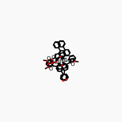 Cc1ccc(C2=Cc3c(-c4ccccc4)cccc3[C]23[GeH]([c]2ccccc2)[C]2(C(c4ccc(C)o4)=Cc4c(-c5ccccc5)cccc42)[Hf]32([Cl])([Cl])[C]3(C(c4ccc(C)o4)=Cc4c(-c5ccccc5)cccc43)[GeH]([c]3ccccc3)[C]23C(c2ccc(C)o2)=Cc2c(-c4ccccc4)cccc23)o1